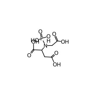 O=C(O)CC(C(=O)O)N(CC(=O)O)P(=O)(O)O